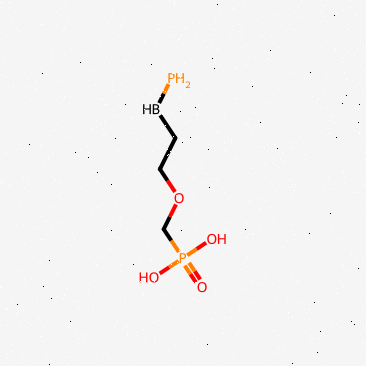 O=P(O)(O)COCCBP